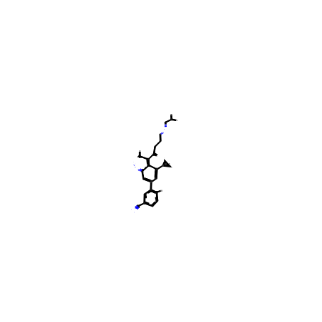 C=C(C)/C(C(=C)CCCNCC(C)C)=C1/C(C2CC2)=CC(c2cc(C#N)ccc2C)=C/C1=N/C